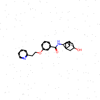 O=C(NC1C2CC3(O)CC4CC1(C3)C42)c1cccc(OCCc2ccccn2)c1